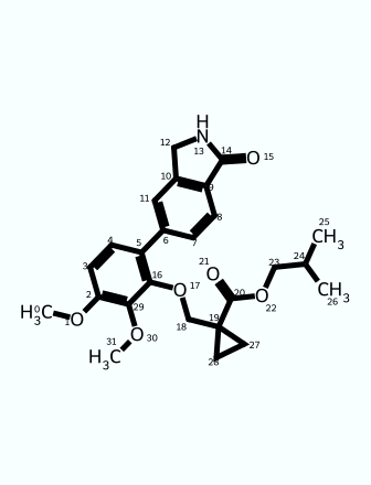 COc1ccc(-c2ccc3c(c2)CNC3=O)c(OCC2(C(=O)OCC(C)C)CC2)c1OC